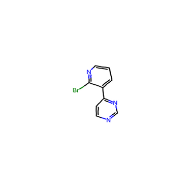 Brc1ncccc1-c1ccncn1